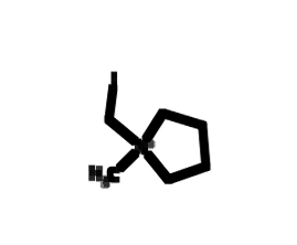 C[N+]1(CI)CCCC1